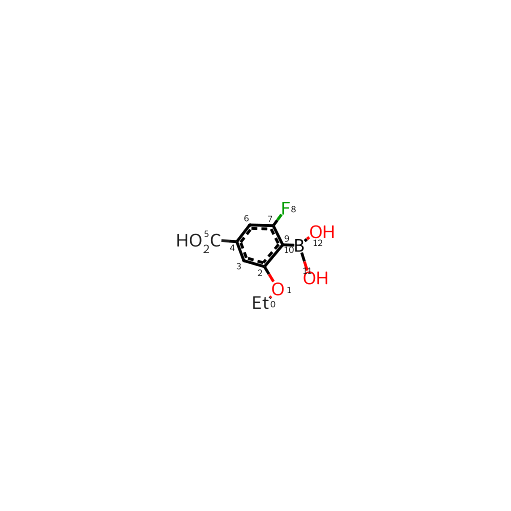 CCOc1cc(C(=O)O)cc(F)c1B(O)O